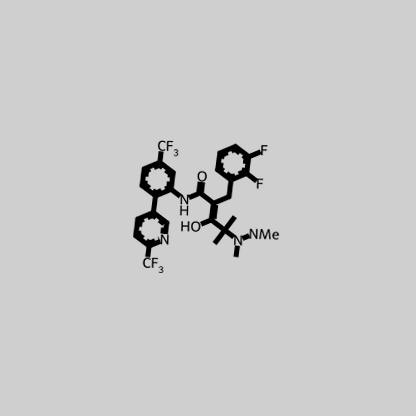 CNN(C)C(C)(C)/C(O)=C(\Cc1cccc(F)c1F)C(=O)Nc1cc(C(F)(F)F)ccc1-c1ccc(C(F)(F)F)nc1